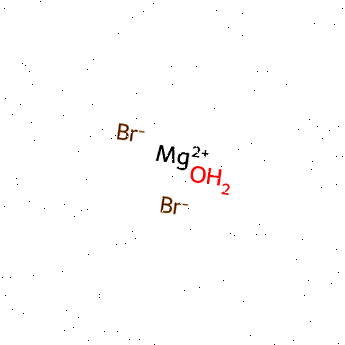 O.[Br-].[Br-].[Mg+2]